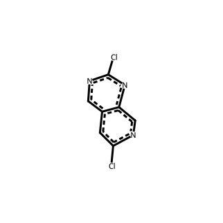 Clc1cc2cnc(Cl)nc2cn1